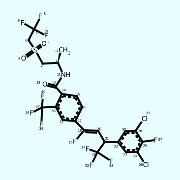 C[C@H](CS(=O)(=O)CC(F)(F)F)NC(=O)c1ccc(/C(F)=C/C(c2cc(Cl)c(F)c(Cl)c2)C(F)(F)F)cc1C(F)(F)F